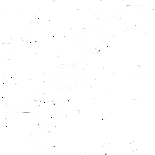 COC(=O)C(NC(=O)c1ccc(-c2ccc(CN3CCOCC3)cc2)cc1)C1CC1